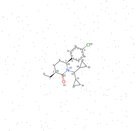 CC[C@H]1CC[C@@H](c2ccc(Cl)cc2)N(C(C2CC2)C2CC2)C1=O